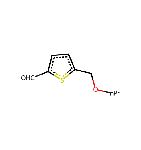 CCCOCc1ccc(C=O)s1